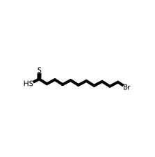 S=C(S)CCCCCCCCCCBr